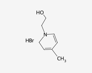 Br.CC1=CCN(CCO)C=C1